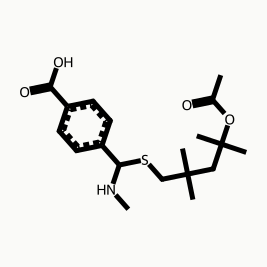 CNC(SCC(C)(C)CC(C)(C)OC(C)=O)c1ccc(C(=O)O)cc1